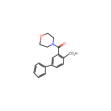 O=C(O)c1ccc(-c2ccccc2)cc1C(=O)N1CCOCC1